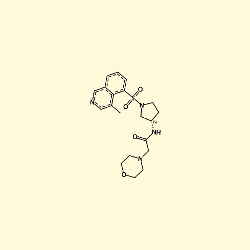 Cc1cncc2cccc(S(=O)(=O)N3CC[C@H](NC(=O)CN4CCOCC4)C3)c12